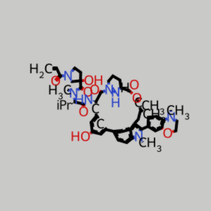 C=CC(=O)N1CCC(O)(C(=O)N(C)[C@H](C(=O)N[C@H]2Cc3cc(O)cc(c3)-c3ccc4c(c3)c(c(-c3ccc5c(c3)OCCN5C)n4C)CC(C)(C)COC(=O)[C@@H]3CCCN(N3)C2=O)C(C)C)C1